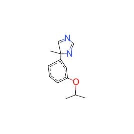 CC(C)Oc1cccc(C2(C)C=NC=N2)c1